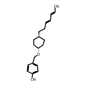 N#C/C=C/C=C/CC[C@H]1CC[C@H](OCc2ccc(C#N)cc2)CC1